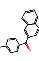 Cc1ccc(C(=O)c2ccc3ccccc3c2)cc1